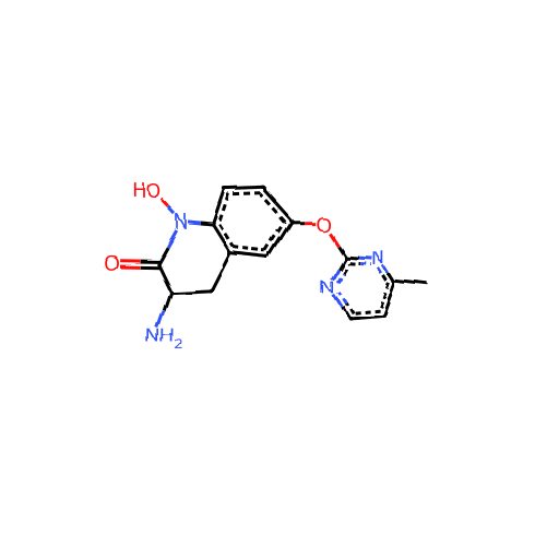 Cc1ccnc(Oc2ccc3c(c2)CC(N)C(=O)N3O)n1